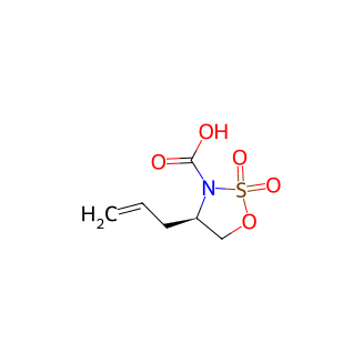 C=CC[C@@H]1COS(=O)(=O)N1C(=O)O